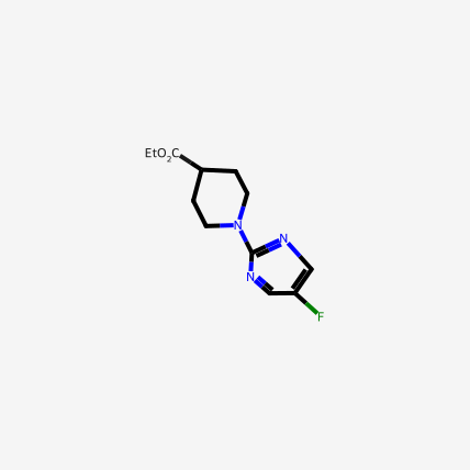 CCOC(=O)C1CCN(c2ncc(F)cn2)CC1